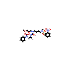 COCC(CN(CCCCN(C)S(=O)(=O)c1ccccc1[N+](=O)[O-])C(=O)NC(C)C)OC(=O)Nc1ccccc1